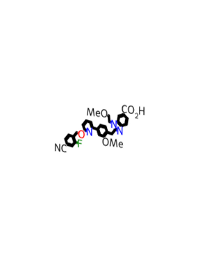 COCCn1c(Cc2ccc(-c3cccc(OCc4ccc(C#N)cc4F)n3)cc2OC)nc2ccc(C(=O)O)cc21